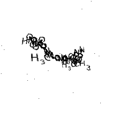 C[C@H]1CN(c2ccc3c(c2)C(=O)N(C2CCC(=O)NC2=O)C3=O)CCN1CC1CCN(c2ccc(C(=O)NC3C(C)(C)[C@@H]4Oc5ccc(C#N)c6nccc(c56)C34C)cc2)CC1